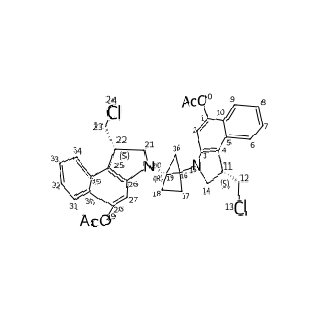 CC(=O)Oc1cc2c(c3ccccc13)[C@H](CCl)CN2C12CC[C@@]1(N1C[C@@H](CCl)c3c1cc(OC(C)=O)c1ccccc31)C2